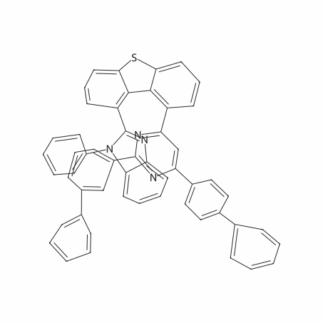 c1ccc(-c2ccc(-c3cc(-c4cccc5sc6cccc(-c7nc8ccccc8n7-c7ccccc7)c6c45)nc(-c4cccc(-c5ccccc5)c4)n3)cc2)cc1